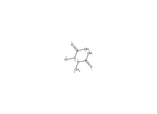 COC(=O)O.O=C(O)OCl